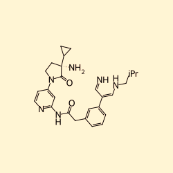 CC(C)CN/C=C(\C=N)c1cccc(CC(=O)Nc2cc(N3CC[C@@](N)(C4CC4)C3=O)ccn2)c1